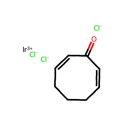 O=C1C=CCCCC=C1.[Cl-].[Cl-].[Cl-].[Ir+3]